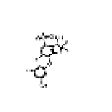 CS(=O)(=O)c1cc(F)c(Oc2cc(F)cc(C#N)c2)c2c1C(O)C(F)(F)C2